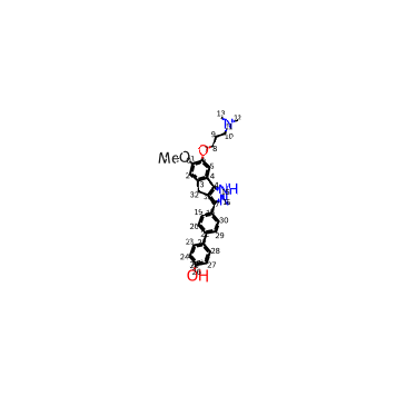 COc1cc2c(cc1OCCCN(C)C)-c1[nH]nc(-c3ccc(-c4ccc(O)cc4)cc3)c1C2